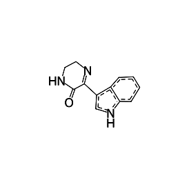 O=C1NCCN=C1c1c[nH]c2ccccc12